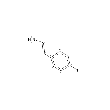 NC=Cc1ccc(F)cc1